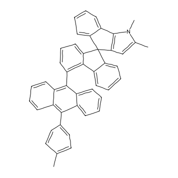 Cc1ccc(-c2c3ccccc3c(-c3cccc4c3-c3ccccc3C43c4ccccc4-c4c3cc(C)n4C)c3ccccc23)cc1